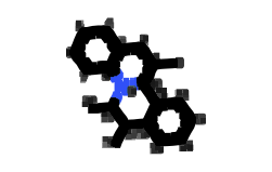 Cc1cc2ccccc2[n+]2c1-c1ccccc1C(C)C2C